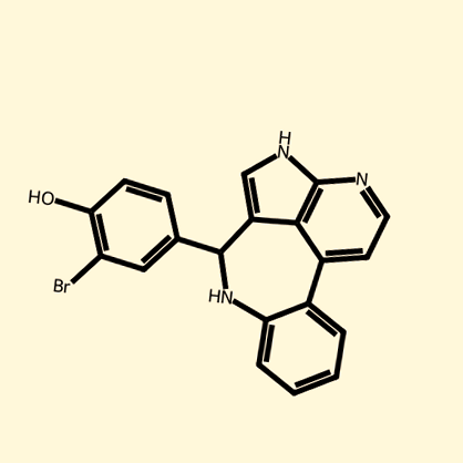 Oc1ccc(C2Nc3ccccc3-c3ccnc4[nH]cc2c34)cc1Br